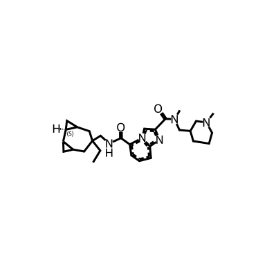 CCC1(CNC(=O)c2cccc3nc(C(=O)N(C)CC4CCCN(C)C4)cn23)CC2CC2[C@H]2CC2C1